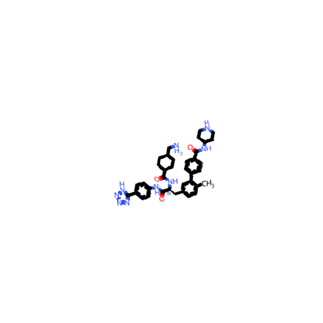 Cc1ccc(C[C@H](NC(=O)C2CCC(CN)CC2)C(=O)Nc2ccc(-c3nnn[nH]3)cc2)cc1-c1ccc(C(=O)NC2CCNCC2)cc1